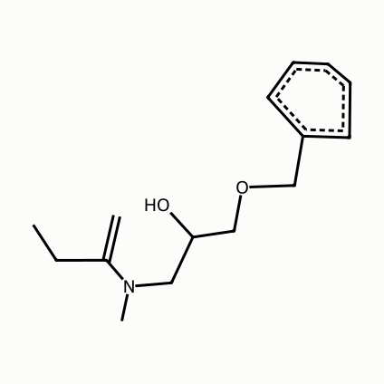 C=C(CC)N(C)CC(O)COCc1ccccc1